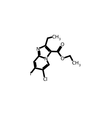 CCOC(=O)c1c(CC)nc2cc(I)c(Cl)cn12